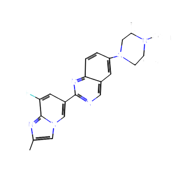 Cc1cn2cc(-c3ncc4cc(N5C[C@@H](C)N(C(=O)O)[C@@H](C)C5)ccc4n3)cc(F)c2n1